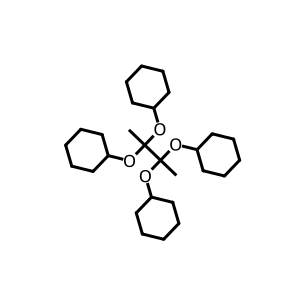 CC(OC1CCCCC1)(OC1CCCCC1)C(C)(OC1CCCCC1)OC1CCCCC1